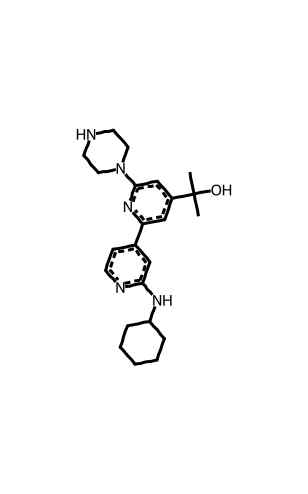 CC(C)(O)c1cc(-c2ccnc(NC3CCCCC3)c2)nc(N2CCNCC2)c1